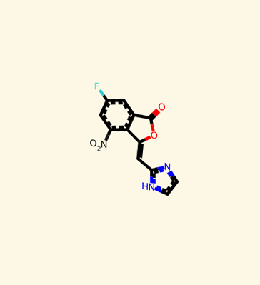 O=C1O/C(=C\c2ncc[nH]2)c2c1cc(F)cc2[N+](=O)[O-]